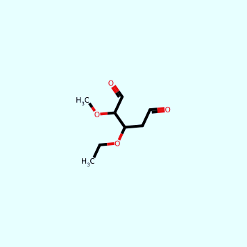 CCOC(CC=O)C(C=O)OC